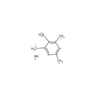 Bc1c(C)cc(C)cc1C.[KH]